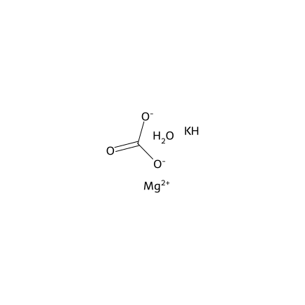 O.O=C([O-])[O-].[KH].[Mg+2]